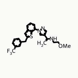 C=C(NCCOC)c1cnn(-c2cccc3cc(Cc4cccc(C(F)(F)F)c4)sc23)c1